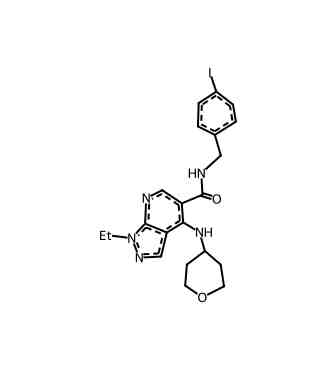 CCn1ncc2c(NC3CCOCC3)c(C(=O)NCc3ccc(I)cc3)cnc21